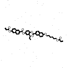 C=CC(=O)OCCCCCCOc1ccc2cc(C(=O)Oc3ccc(OC(=O)c4ccc5cc(OC(=O)C=C)ccc5c4)cc3CCC)ccc2c1